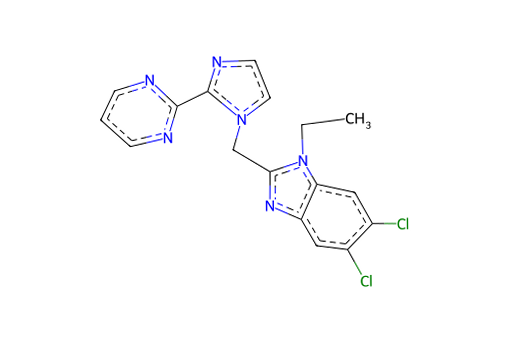 CCn1c(Cn2ccnc2-c2ncccn2)nc2cc(Cl)c(Cl)cc21